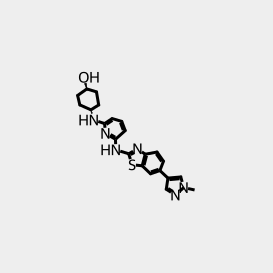 Cn1cc(-c2ccc3nc(Nc4cccc(N[C@H]5CC[C@H](O)CC5)n4)sc3c2)cn1